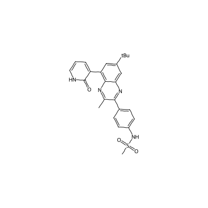 Cc1nc2c(-c3ccc[nH]c3=O)cc(C(C)(C)C)cc2nc1-c1ccc(NS(C)(=O)=O)cc1